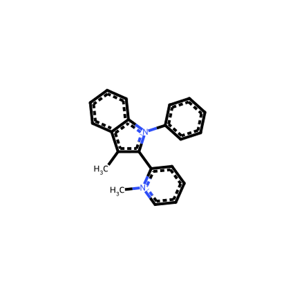 Cc1c(-c2cccc[n+]2C)n(-c2ccccc2)c2ccccc12